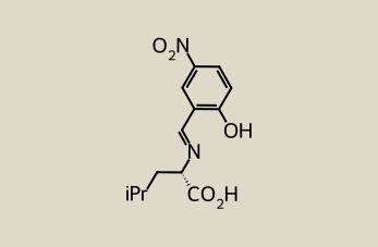 CC(C)C[C@H](/N=C/c1cc([N+](=O)[O-])ccc1O)C(=O)O